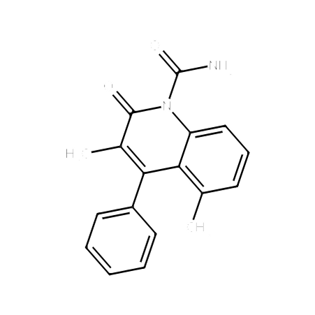 Cc1c(-c2ccccc2)c2c(C)cccc2n(C(N)=O)c1=O